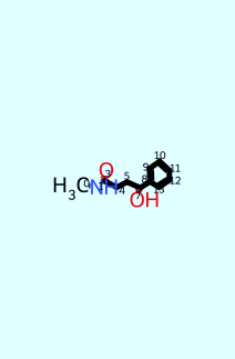 CNC(=O)CCC(O)c1ccccc1